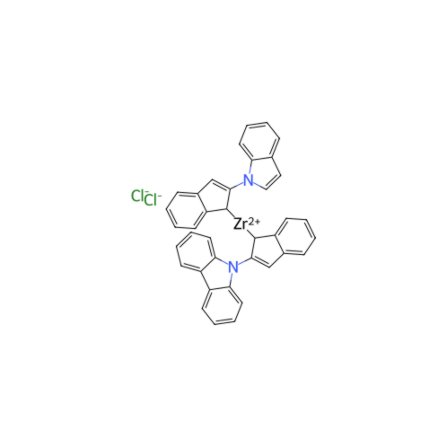 C1=C(n2ccc3ccccc32)[CH]([Zr+2][CH]2C(n3c4ccccc4c4ccccc43)=Cc3ccccc32)c2ccccc21.[Cl-].[Cl-]